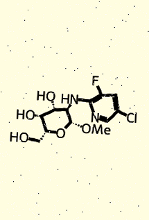 CO[C@@H]1O[C@H](CO)[C@H](O)[C@H](O)[C@H]1Nc1ncc(Cl)cc1F